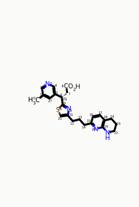 Cc1cncc([C@H](CC(=O)O)c2nc(CCCc3ccc4c(n3)NCCC4)cs2)c1